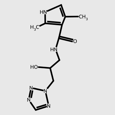 Cc1c[nH]c(C)c1C(=O)NCC(O)Cn1ncnn1